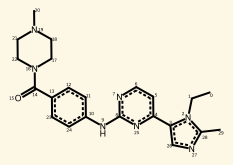 CCn1c(-c2ccnc(Nc3ccc(C(=O)N4CCN(C)CC4)cc3)n2)cnc1C